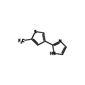 FC(F)(F)c1cc(-c2ncc[nH]2)cs1